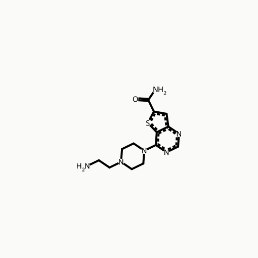 NCCN1CCN(c2ncnc3cc(C(N)=O)sc23)CC1